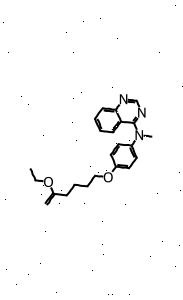 C=C(CCCCOc1ccc(N(C)c2ncnc3ccccc23)cc1)OCC